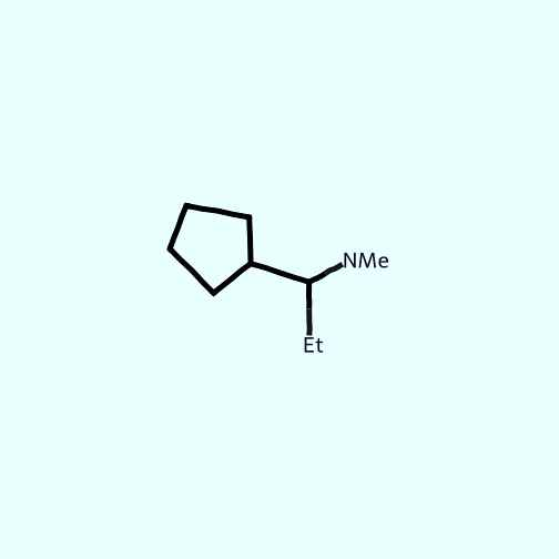 CCC(NC)C1CCCC1